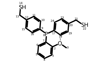 COc1ccccc1P(c1ccc(CS)cc1)c1ccc(CS)cc1